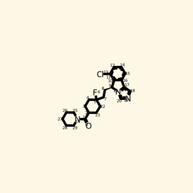 O=C(C1CCC(F)(CC[C@H]2c3c(Cl)cccc3-c3cncn32)CC1)N1CCCCC1